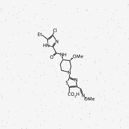 CCc1[nH]c(C(=O)N[C@@H]2CCN(c3nc(/C=N/OC)c(C(=O)O)s3)C[C@@H]2OC)nc1Cl